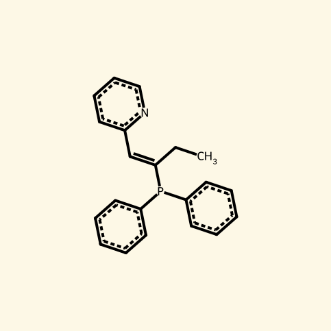 CCC(=Cc1ccccn1)P(c1ccccc1)c1ccccc1